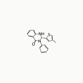 Cc1csc(C2Nc3ccccc3C(=O)N2c2ccccc2)c1